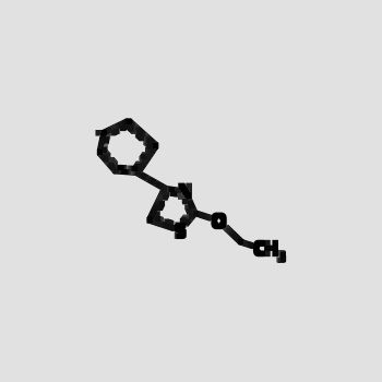 CCOc1nc(-c2cc[c]cc2)cs1